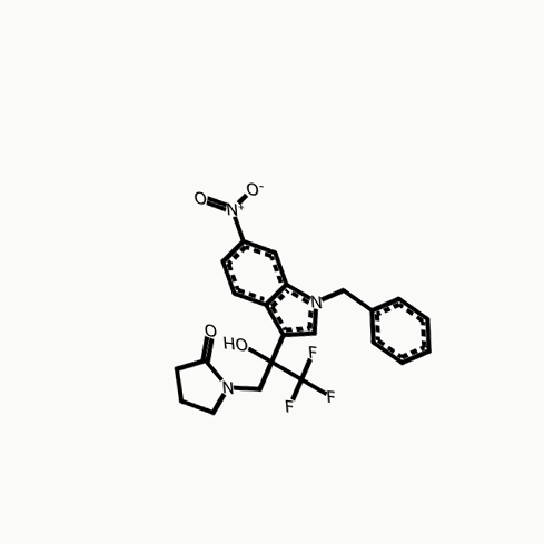 O=C1CCCN1CC(O)(c1cn(Cc2ccccc2)c2cc([N+](=O)[O-])ccc12)C(F)(F)F